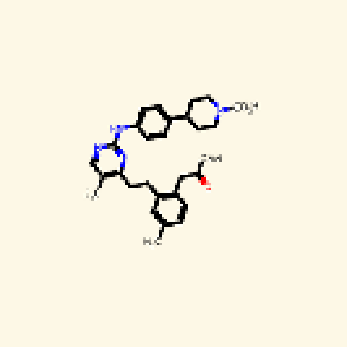 COC(=O)Cc1ccc(C)cc1CCc1nc(Nc2ccc(C3CCN(C(=O)O)CC3)cc2)ncc1C(F)(F)F